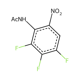 CC(=O)Nc1c([N+](=O)[O-])cc(F)c(F)c1F